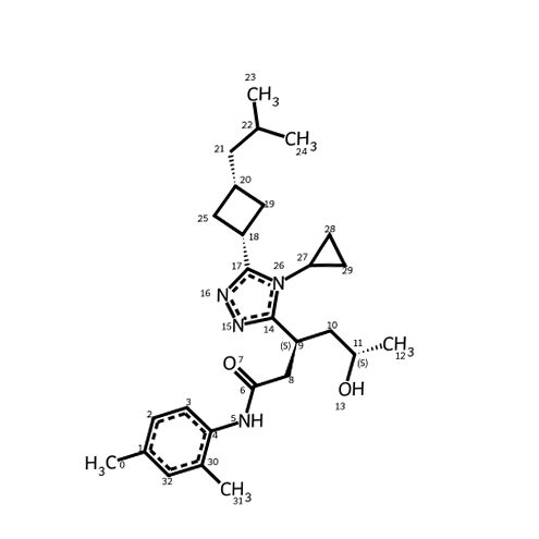 Cc1ccc(NC(=O)C[C@H](C[C@H](C)O)c2nnc([C@H]3C[C@@H](CC(C)C)C3)n2C2CC2)c(C)c1